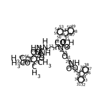 Cc1c(C)c(S(=O)(=O)NC(=N)NCCC[C@@H](C(=O)O)N(CCOCCNC(=O)OCC2c3ccccc3-c3ccccc32)C(=O)OCC2c3ccccc3-c3ccccc32)c(C)c2c1OC(C)(C)C2